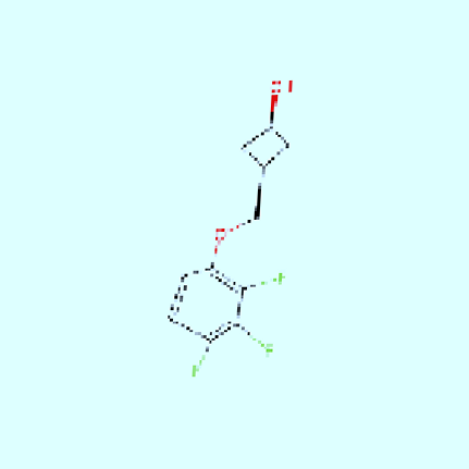 O[C@H]1C[C@@H](COc2ccc(F)c(F)c2F)C1